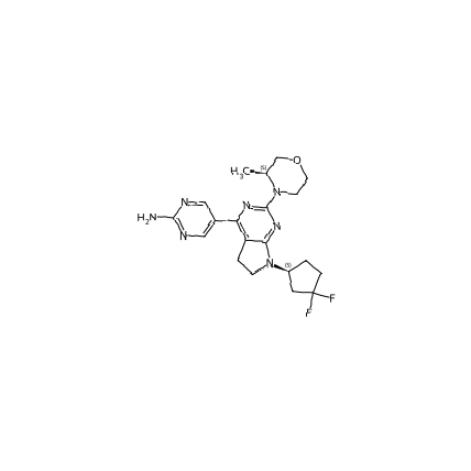 C[C@H]1COCCN1c1nc(-c2cnc(N)nc2)c2c(n1)N([C@H]1CCC(F)(F)C1)CC2